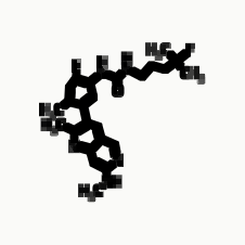 CNc1cc2nc(C)c(-c3cc(NC(=O)NCCCC(C)(C)F)c(F)cc3C)cc2cn1